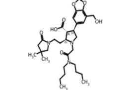 CCCCN(CCCC)C(=O)CN1C[C@H](c2cc(CO)c3c(c2)OCO3)[C@@H](C(=O)O)[C@@H]1CCN1CC(C)(C)CC1=O